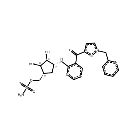 NS(=O)(=O)OC[C@H]1C[C@@H](Nc2ncncc2C(=O)c2ccn(Cc3ccccn3)n2)[C@H](O)[C@@H]1O